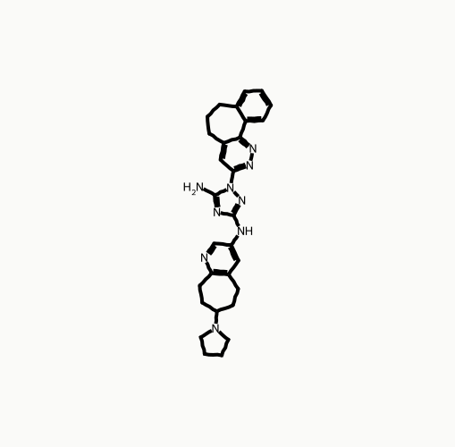 Nc1nc(Nc2cnc3c(c2)CCC(N2CCCC2)CC3)nn1-c1cc2c(nn1)-c1ccccc1CCC2